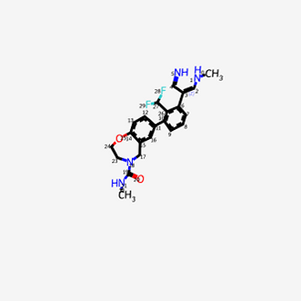 CN/C=C(\C=N)c1cccc(-c2ccc3c(c2)CN(C(=O)NC)CCO3)c1C(F)F